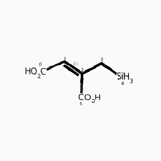 O=C(O)/C=C(/C[SiH3])C(=O)O